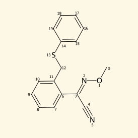 CON=C(C#N)c1ccccc1CSc1ccccc1